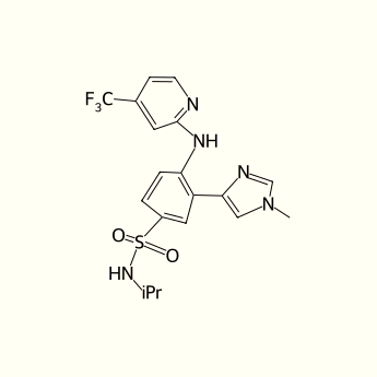 CC(C)NS(=O)(=O)c1ccc(Nc2cc(C(F)(F)F)ccn2)c(-c2cn(C)cn2)c1